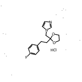 Cl.Fc1ccc(CCC2(Cn3ccnc3)OCCO2)cc1